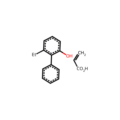 C=CC(=O)O.CCc1cccc(O)c1-c1ccccc1